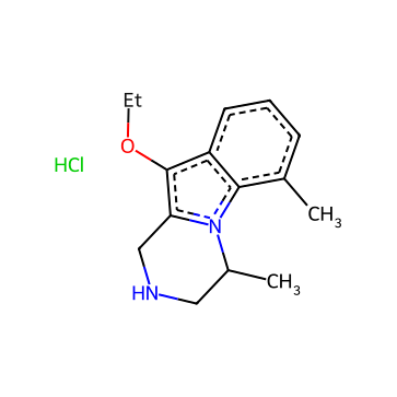 CCOc1c2n(c3c(C)cccc13)C(C)CNC2.Cl